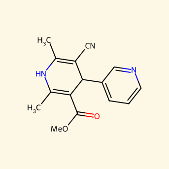 COC(=O)C1=C(C)NC(C)=C(C#N)C1c1cccnc1